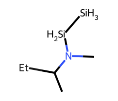 CCC(C)N(C)[SiH2][SiH3]